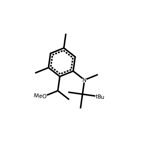 COC(C)c1c(C)cc(C)cc1N(C)C(C)(C)C(C)(C)C